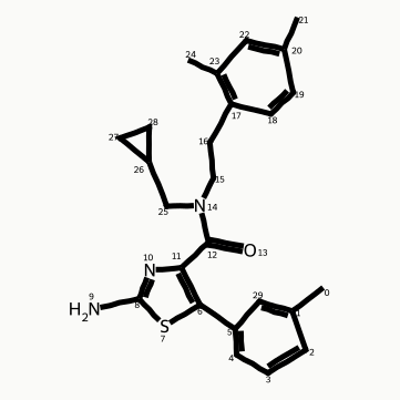 Cc1cccc(-c2sc(N)nc2C(=O)N(CCc2ccc(C)cc2C)CC2CC2)c1